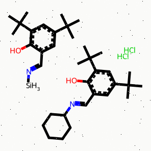 CC(C)(C)c1cc(C=NC2CCCCC2)c(O)c(C(C)(C)C)c1.CC(C)(C)c1cc(C=N[SiH3])c(O)c(C(C)(C)C)c1.Cl.Cl